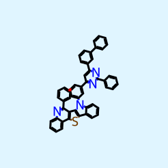 c1ccc(-c2cccc(-c3cc(-c4cccc(-n5c6ccccc6c6sc7c8ccccc8nc(-c8ccccc8)c7c65)c4)nc(-c4ccccc4)n3)c2)cc1